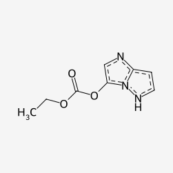 CCOC(=O)Oc1cnc2cc[nH]n12